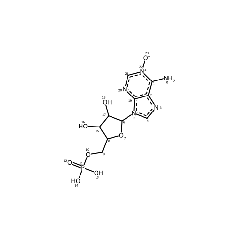 Nc1c2ncn(C3OC(COP(=O)(O)O)C(O)C3O)c2nc[n+]1[O-]